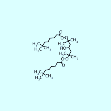 CC(C)(C)CCCCCC(=O)OOC(C)(C)CC(O)CC(C)(C)OOC(=O)CCCCCC(C)(C)C